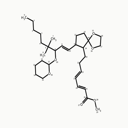 CCCCCC(C)(C)C(/C=C/C1CCC2(OCCO2)C1CCC=C/C=C/C(=O)OC)OC1CCCCO1